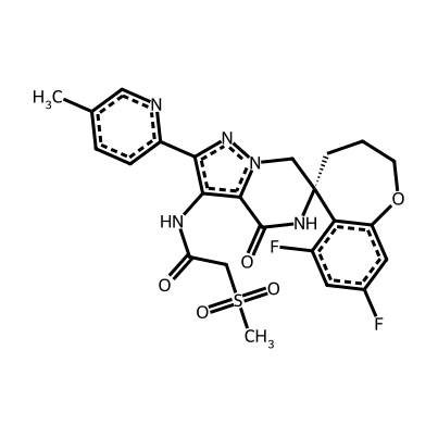 Cc1ccc(-c2nn3c(c2NC(=O)CS(C)(=O)=O)C(=O)N[C@@]2(CCCOc4cc(F)cc(F)c42)C3)nc1